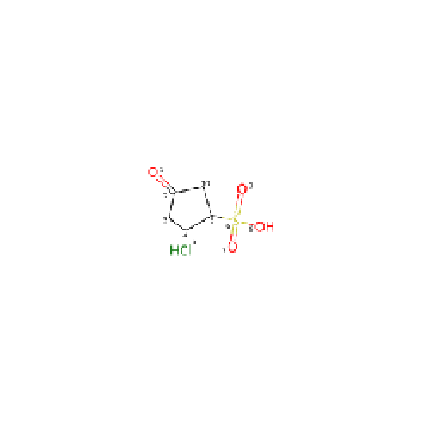 Cl.O=C1CCC(S(=O)(=O)O)C1